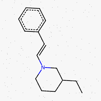 C[CH]C1CCCN(C=Cc2ccccc2)C1